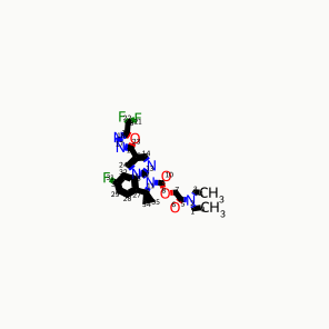 CCN(CC)C(=O)COC(=O)N(c1ncc(-c2nnc(C(F)F)o2)cn1)C1(c2ccc(F)cc2)CC1